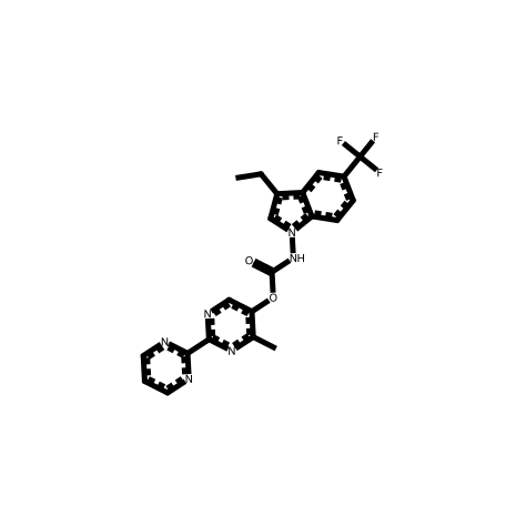 CCc1cn(NC(=O)Oc2cnc(-c3ncccn3)nc2C)c2ccc(C(F)(F)F)cc12